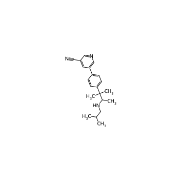 CC(C)CNC(C)C(C)(C)c1ccc(-c2cncc(C#N)c2)cc1